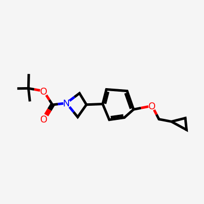 CC(C)(C)OC(=O)N1CC(c2ccc(OCC3CC3)cc2)C1